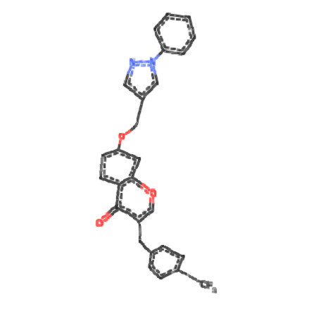 O=c1c(Cc2ccc(C(F)(F)F)cc2)coc2cc(OCc3cnn(-c4ccccc4)c3)ccc12